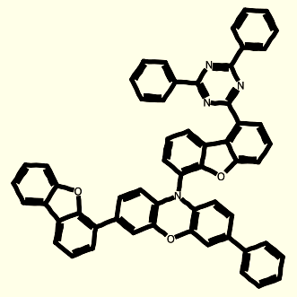 c1ccc(-c2ccc3c(c2)Oc2cc(-c4cccc5c4oc4ccccc45)ccc2N3c2cccc3c2oc2cccc(-c4nc(-c5ccccc5)nc(-c5ccccc5)n4)c23)cc1